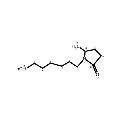 CCCCCCCCCCCCCCN1C(=O)CCC1C